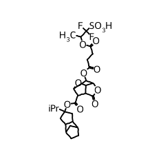 CC(C)C1(OC(=O)C2C3OC4C(OC(=O)C42)C3OC(=O)CCC(=O)OC(C)C(F)(F)S(=O)(=O)O)CC2C3CCC(C3)C2C1